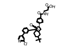 CC(C)(C)C1CCC23N=C(c4cccc(-c5ccnc(Cl)c5)c4)C(=O)N2[C@@H](c2ccc(C(=O)NCCC(=O)O)cc2)CC3C1